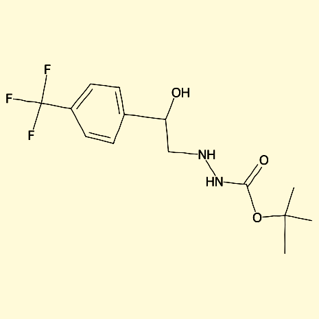 CC(C)(C)OC(=O)NNCC(O)c1ccc(C(F)(F)F)cc1